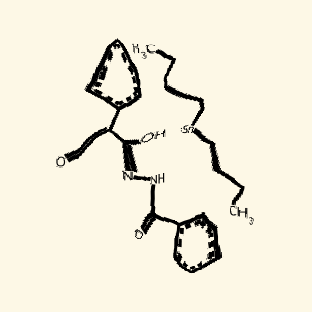 CCC[CH2][Sn][CH2]CCC.O=C=C(C(O)=NNC(=O)c1ccccc1)c1ccccc1